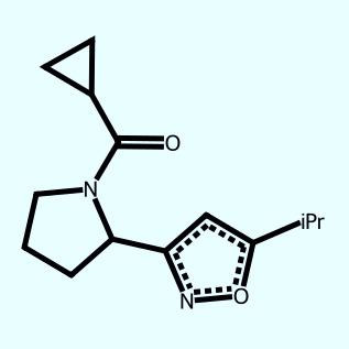 CC(C)c1cc(C2CCCN2C(=O)C2CC2)no1